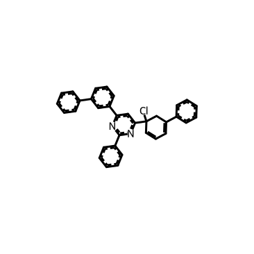 ClC1(c2cc(-c3cccc(-c4ccccc4)c3)nc(-c3ccccc3)n2)C=CC=C(c2ccccc2)C1